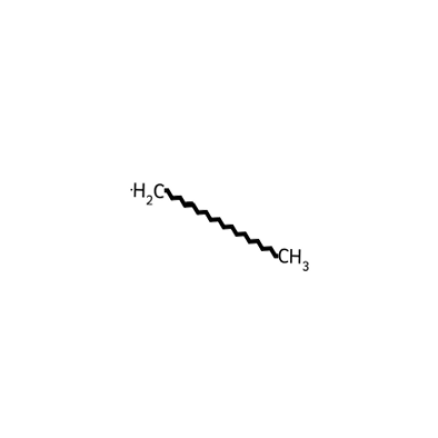 [CH2]CCCC=CCCCCCCCCCCCCCC